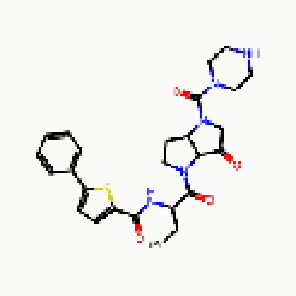 CC(C)CC(NC(=O)c1ccc(-c2ccccc2)s1)C(=O)N1CCC2C1C(=O)CN2C(=O)N1CCNCC1